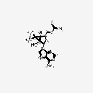 CC(=O)OC[C@H]1O[C@@H](n2cnc3c(N)ncnc32)[C@@]2(O)C(C)(C)[C@@]12O